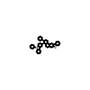 c1ccc(-c2ccc3c(ccc4cc5sc6ccccc6c5cc43)c2-c2ccc3c(c2)c2ccccc2n3-c2ccccc2)cc1